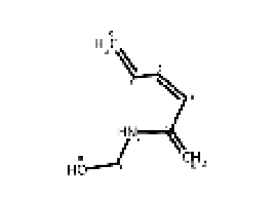 C=C/C=C\C(=C)NCO